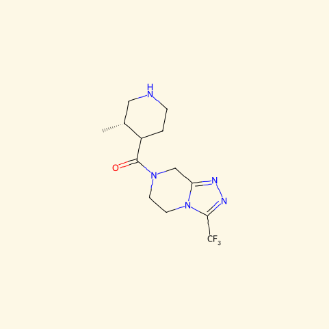 C[C@@H]1CNCCC1C(=O)N1CCn2c(nnc2C(F)(F)F)C1